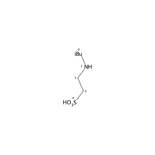 CCC(C)NCCS(=O)(=O)O